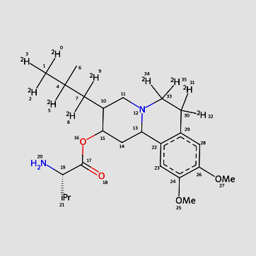 [2H]C([2H])([2H])C([2H])(C)C([2H])([2H])C1CN2C(CC1OC(=O)[C@@H](N)C(C)C)c1cc(OC)c(OC)cc1C([2H])([2H])C2([2H])[2H]